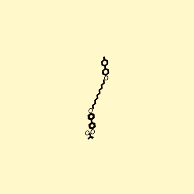 C=C1CCC(C2CCC(OCCCCCCCCCCCCOc3ccc(-c4ccc(OC(=O)C(=C)C)cc4)cc3)CC2)CC1